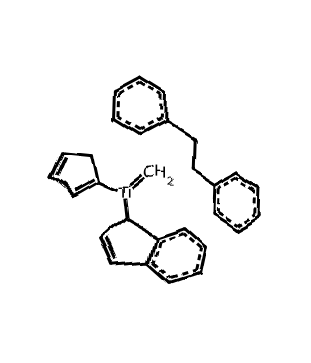 [CH2]=[Ti]([C]1=CC=CC1)[CH]1C=Cc2ccccc21.c1ccc(CCc2ccccc2)cc1